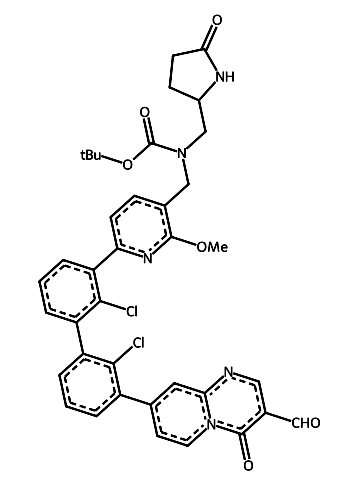 COc1nc(-c2cccc(-c3cccc(-c4ccn5c(=O)c(C=O)cnc5c4)c3Cl)c2Cl)ccc1CN(CC1CCC(=O)N1)C(=O)OC(C)(C)C